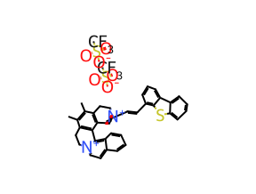 Cc1c(C)c2c(c3c1CC[n+]1ccc4ccccc4c1-3)-c1cccc(/C=C/c3cccc4c3sc3ccccc34)[n+]1CC2.O=S(=O)([O-])C(F)(F)F.O=S(=O)([O-])C(F)(F)F